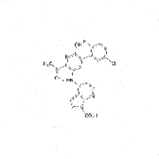 CN(C)c1nc(O)c(-c2cc(Cl)ccc2F)cc1Nc1ccnc2c1ccn2C(=O)O